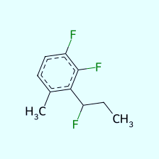 CCC(F)c1c(C)ccc(F)c1F